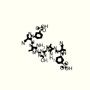 Cc1nn(-c2nc(O)nc(-n3nc(C)c(N=Nc4c(C#N)cnn4-c4cccc(S(=O)(=O)O)c4)c3N)n2)c(N)c1N=Nc1c(C#N)cnn1-c1cccc(S(=O)(=O)O)c1